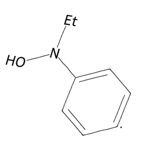 CCN(O)c1cc[c]cc1